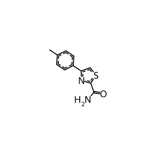 Cc1ccc(-c2csc(C(N)=O)n2)cc1